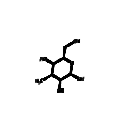 C[C@H]1C(O)[C@@H](CO)O[C@@H](O)[C@H]1O